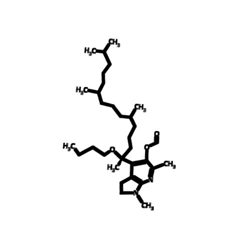 CCCCO[C@](C)(CCCC(C)CCCC(C)CCCC(C)C)c1c2c(nc(C)c1OC=O)N(C)CC2